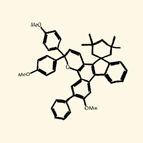 COc1ccc(C2(c3ccc(OC)cc3)C=Cc3c4c(c5cc(OC)c(-c6ccccc6)cc5c3O2)-c2ccccc2C42CC(C)(C)CC(C)(C)C2)cc1